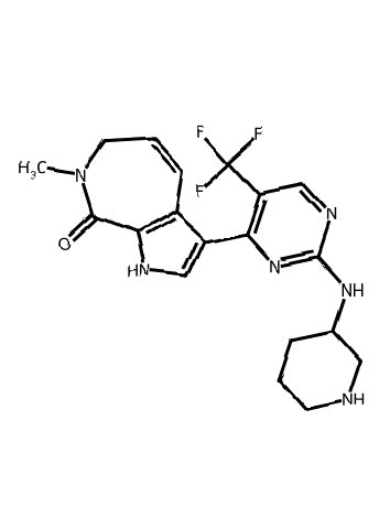 CN1CC=Cc2c(-c3nc(NC4CCCNC4)ncc3C(F)(F)F)c[nH]c2C1=O